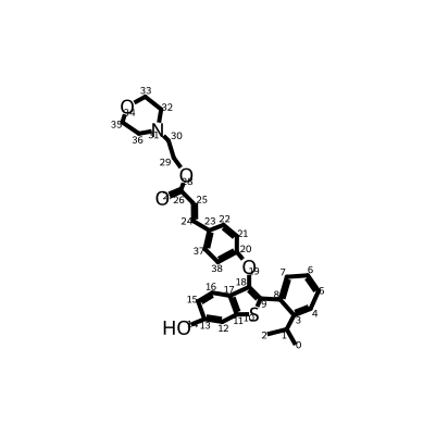 CC(C)c1ccccc1-c1sc2cc(O)ccc2c1Oc1ccc(C=CC(=O)OCCN2CCOCC2)cc1